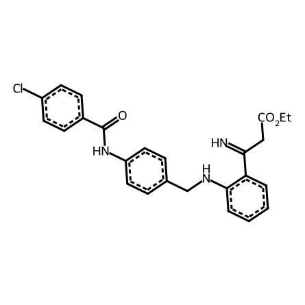 CCOC(=O)CC(=N)c1ccccc1NCc1ccc(NC(=O)c2ccc(Cl)cc2)cc1